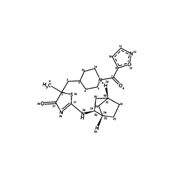 CC1(CC2CCN(C(=O)c3ccno3)CC2)SC(N[C@H]2C[C@@H]3CC[C@H]2C3)=NC1=O